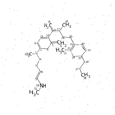 C=C1CC(C(C)CC/C=C/NC)=CC=C1C(=C)C(C)CCC1=C(C)CC(CCC)C=C1